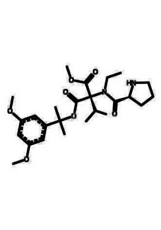 CCN(C(=O)[C@@H]1CCCN1)[C@@](C(=O)OC)(C(=O)OC(C)(C)c1cc(OC)cc(OC)c1)C(C)C